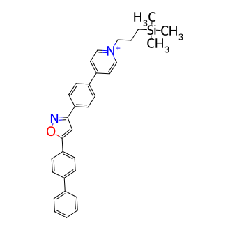 C[Si](C)(C)CCC[n+]1ccc(-c2ccc(-c3cc(-c4ccc(-c5ccccc5)cc4)on3)cc2)cc1